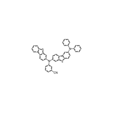 N#Cc1cccc(N(c2ccc3c(c2)sc2ccccc23)c2ccc3c(c2)sc2ccc(N(c4ccccc4)c4ccccc4)cc23)c1